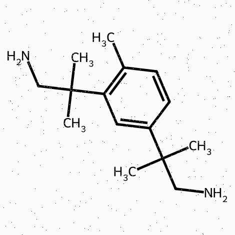 Cc1ccc(C(C)(C)CN)cc1C(C)(C)CN